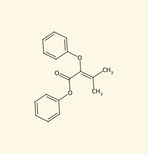 CC(C)=C(Oc1ccccc1)C(=O)Oc1ccccc1